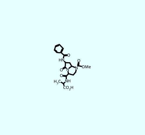 COC(=O)N1CCC(C(=O)NC(C)C(=O)O)N2C(=O)C(NC(=O)c3ccccc3)CC12